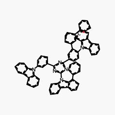 c1ccc(-c2cccc(-c3cc(-c4nc(-c5cccc(-n6c7ccccc7c7ccccc76)c5)nc(-n5c6ccccc6c6cccc(-c7ccccc7)c65)n4)ccc3-n3c4ccccc4c4ccccc43)c2)cc1